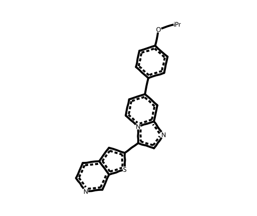 CC(C)Oc1ccc(-c2ccn3c(-c4cc5ccncc5s4)cnc3c2)cc1